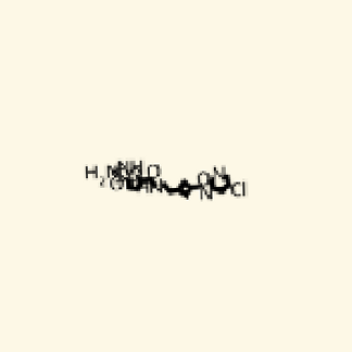 N=S(N)(=O)c1ccc(C(=O)NCCC2CC(c3nc4cc(Cl)cnc4o3)C2)o1